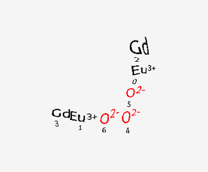 [Eu+3].[Eu+3].[Gd].[Gd].[O-2].[O-2].[O-2]